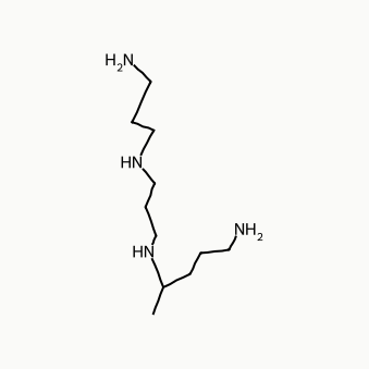 CC(CCCN)NCCCNCCCN